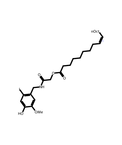 CCCCCCCC/C=C\CCCCCCCC(=O)OCC(=O)NCc1cc(OC)c(O)cc1I